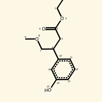 CCOC(=O)CC(COC)c1cccc(O)c1